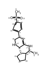 C[C@H](NC1=NC(c2ccc(S(C)(=O)=O)cc2)CNC1)C1CCCS1